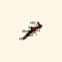 CCOc1cc(N=Nc2ccc(C(=O)Nc3ccc4cccc(OCCCS(=O)(=O)O)c4c3)cc2OC)c(OCC)cc1N=Nc1cc(OC)c(N=Nc2ccc3cc(/N=N/c4ccc(O)cc4)ccc3c2O)cc1C